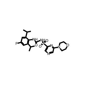 CC(C)c1cc(F)cc(C(C)C)c1NC(=O)NS(=O)(=O)c1cncc(N2CCOCC2)n1